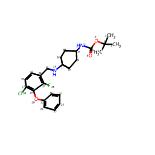 CC(C)(C)OC(=O)NC1CCC(NCc2ccc(Cl)c(Oc3ccccc3)c2F)CC1